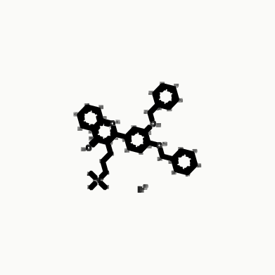 C[N+](C)(C)CCCc1c(-c2ccc(OCc3ccccc3)c(OCc3ccccc3)c2)oc2ccccc2c1=O.[Br-]